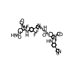 CNC(=O)N1CCc2c(c(Nc3cc(C(F)F)c(-c4cnn(CCNC(=O)N5CCc6c(c(Nc7ccc(-c8cnn(C)c8)cc7F)nn6[C@H]6CCOC6)C5)c4)cc3F)nn2[C@H]2CCOC2)C1